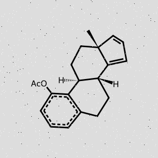 CC(=O)Oc1cccc2c1[C@H]1CC[C@]3(C)C=CC=C3[C@@H]1CC2